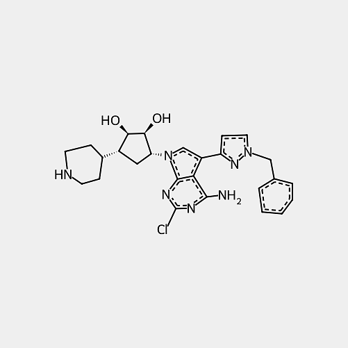 Nc1nc(Cl)nc2c1c(-c1ccn(Cc3ccccc3)n1)cn2[C@@H]1C[C@H](C2CCNCC2)[C@@H](O)[C@H]1O